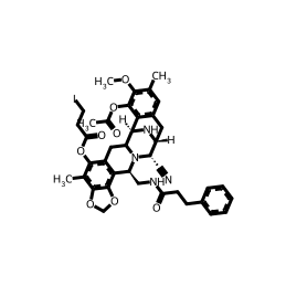 COc1c(C)cc2c(c1OC(C)=O)[C@H]1N[C@H](C2)[C@H](C#N)N2C1Cc1c(OC(=O)CCI)c(C)c3c(c1[C@@H]2CNC(=O)CCc1ccccc1)OCO3